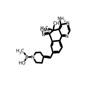 CON=C1c2cc(C=C3CCN(B(C)O)CC3)ccc2-c2ncnc(N)c2C1(C)C